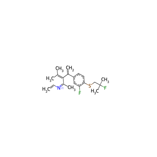 C=C/N=C(/C)C(C(=C)c1ccc(SCC(C)(C)F)c(F)c1)=C(C)C